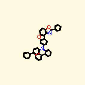 c1ccc(-c2ccc(N(c3ccc4c(c3)oc3ccc5oc(-c6ccccc6)nc5c34)c3ccccc3-c3ccccc3)cc2)cc1